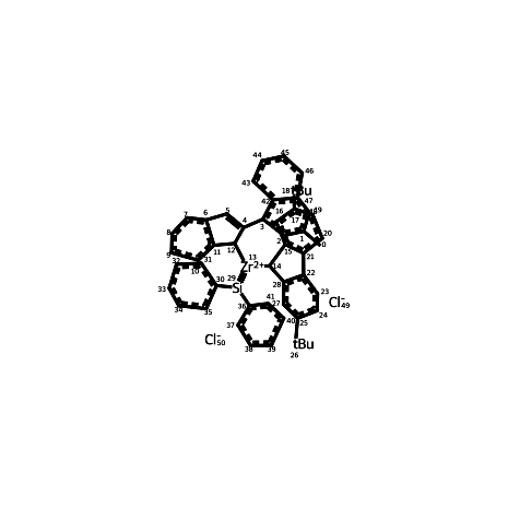 Cc1cc(C2=Cc3ccccc3[CH]2[Zr+2]([CH]2c3cc(C(C)(C)C)ccc3-c3ccc(C(C)(C)C)cc32)=[Si](c2ccccc2)c2ccccc2)c2ccccc2c1.[Cl-].[Cl-]